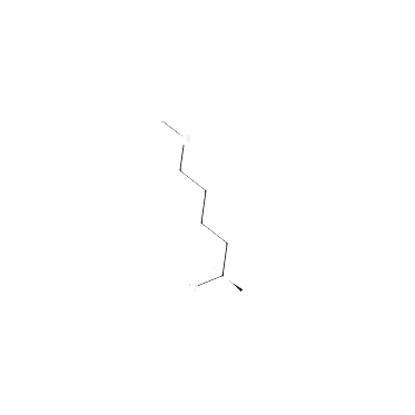 CC(C)(C)NCCCC[C@H](N)C=O